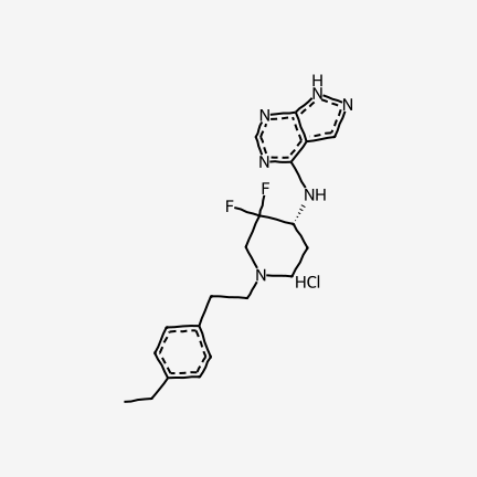 CCc1ccc(CCN2CC[C@@H](Nc3ncnc4[nH]ncc34)C(F)(F)C2)cc1.Cl